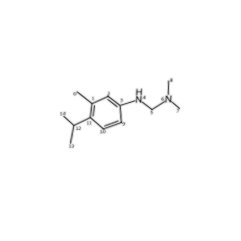 Cc1cc(NCN(C)C)ccc1C(C)C